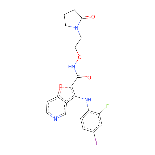 O=C(NOCCN1CCCC1=O)c1oc2ccncc2c1Nc1ccc(I)cc1F